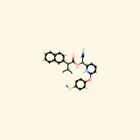 CSc1ccc(Oc2cccc(C(C#N)OC(=O)C(c3ccc4ccccc4c3)C(C)C)n2)cc1